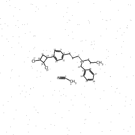 CC#N.CCCN(CCCc1ccc(C2CC(Cl)C2Cl)cc1)Cc1ccccc1